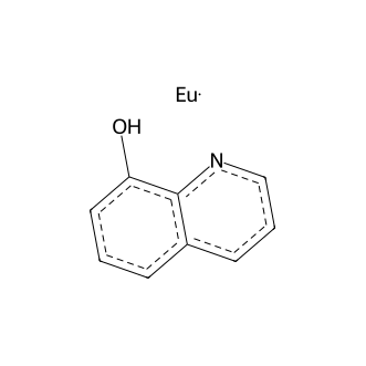 Oc1cccc2cccnc12.[Eu]